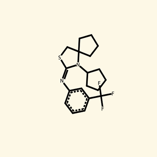 FC(F)(F)c1cccc(/N=C2/SCC3(CCCC3)N2C2CCCC2)c1